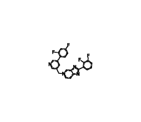 Fc1ccc(-c2cncc(Cn3ccc4nc(-c5cccc(F)c5F)nc-4c3)c2)c(F)c1